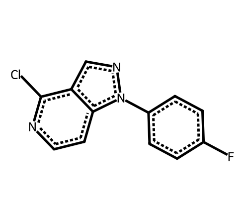 Fc1ccc(-n2ncc3c(Cl)nccc32)cc1